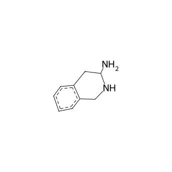 NC1Cc2ccccc2CN1